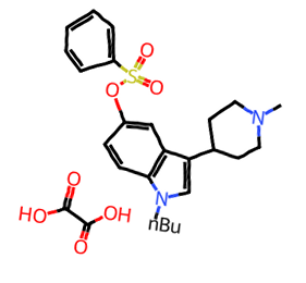 CCCCn1cc(C2CCN(C)CC2)c2cc(OS(=O)(=O)c3ccccc3)ccc21.O=C(O)C(=O)O